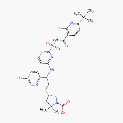 CC(C)(C)c1ccc(C(=O)NS(=O)(=O)c2cccc(NC(CC[C@@H]3CN(C(=O)O)C(C)(C)C3)c3ccc(Br)cn3)n2)c(F)n1